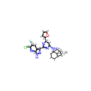 O=C(O)C1C2CCCC1(Nc1cc(-c3ccco3)nc(-c3n[nH]c4nc(Cl)c(F)cc34)n1)CCC2